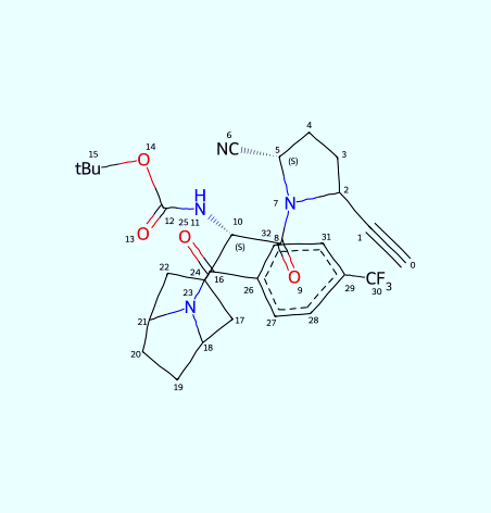 C#CC1CC[C@@H](C#N)N1C(=O)[C@@H](NC(=O)OC(C)(C)C)C1CC2CCC(C1)N2C(=O)c1ccc(C(F)(F)F)cc1